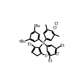 CCC1=CC[C]([Ti+3])=C1[Si](c1cc(C)cc(C)c1)(c1cc(CC)cc(CC)c1)c1cc(C(C)(C)C)cc(C(C)(C)C)c1.[Cl-].[Cl-].[Cl-]